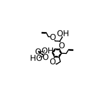 C=CCOCC(CO)Oc1ccc2c(c1CC=C)CCO2.O=S(=O)(O)O